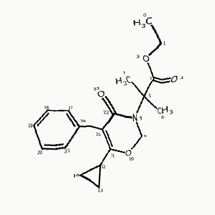 CCOC(=O)C(C)(C)N1COC(C2CC2)=C(c2ccccc2)C1=O